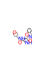 CN(Cc1ccccc1)C(=O)c1cc(C(=O)NCC2CCOCC2)c[nH]c1=O